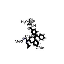 CCOC(=O)C(=N/OC)/C(=C/C1CC1)C1=Cc2cc(OC)ccc2-c2c(C3CCCCC3)c3ccc(C(=O)NS(=O)(=O)N(C)C)cc3n2C1